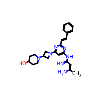 C/C(N)=C/C(=N)Nc1cc(N2CC(N3CCC(O)CC3)C2)nc(/C=C/c2ccccc2)n1